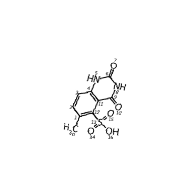 Cc1ccc2[nH]c(=O)[nH]c(=O)c2c1S(=O)(=O)O